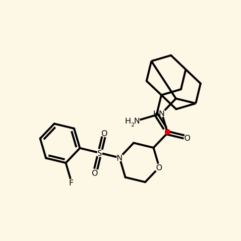 NC(=O)C12CC3CC(C1)C(NC(=O)C1CN(S(=O)(=O)c4ccccc4F)CCO1)C(C3)C2